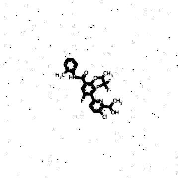 Cc1ccccc1NC(=O)c1cc(F)c(-c2ccc(Cl)c(C(C)O)n2)cc1OC(C)C(F)(F)F